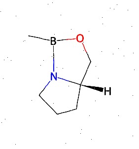 CB1OC[C@@H]2CCCN12